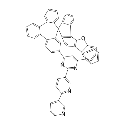 c1ccc(-c2cc(-c3ccc4c(c3)C3(c5ccccc5-c5ccccc5-4)c4ccccc4-c4c3ccc3c4oc4ccccc43)nc(-c3ccc(-c4cccnc4)nc3)n2)cc1